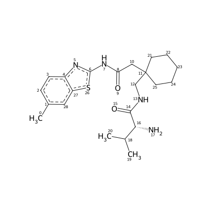 Cc1ccc2nc(NC(=O)CC3(CNC(=O)[C@H](N)C(C)C)CCCCC3)sc2c1